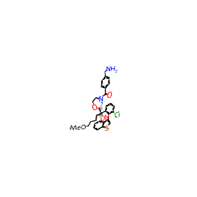 COCCCC[C@@](O)(c1cccc(Cl)c1-c1csc2ccccc12)[C@H]1CN(C(=O)c2ccc(CN)cc2)CCO1